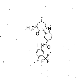 CN1CC(F)Cn2nc3c(c2C1=O)CN(C(=O)Nc1ccc(F)c(C(F)(F)F)c1)CC3